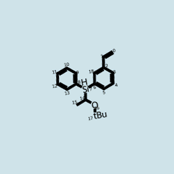 C=Cc1cccc([SiH](c2ccccc2)C(C)OC(C)(C)C)c1